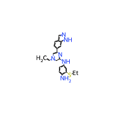 C=CN1C=C(c2ccc3cn[nH]c3c2)N=C(Nc2ccc(N)c(SCC)c2)C1